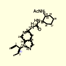 C=C/C(=C\C)n1ncc2cc(NC(=O)N[C@H]3CCCC[C@@H]3NC(C)=O)ncc21